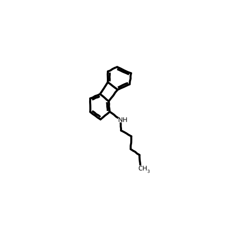 CCCCCNc1cccc2c1-c1ccccc1-2